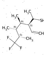 C=C[C@H](C(C)S)[C@H](C)[C@@H](C)[C@H](C)C(F)(F)F